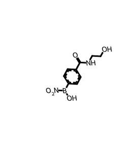 O=C(NCCO)c1ccc(B(O)[N+](=O)[O-])cc1